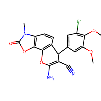 COc1cc(C2C(C#N)=C(N)Oc3c2ccc2c3oc(=O)n2C)cc(Br)c1OC